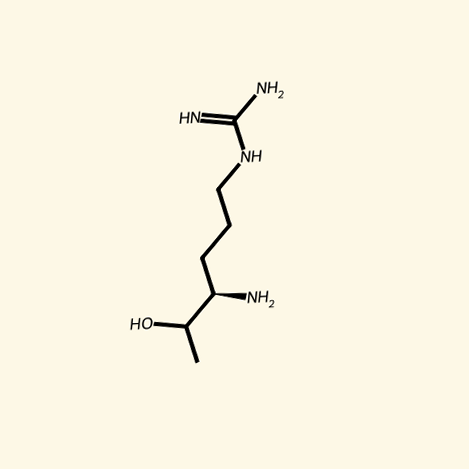 CC(O)[C@H](N)CCCNC(=N)N